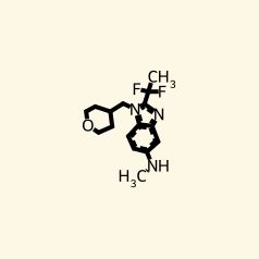 CNc1ccc2c(c1)nc(C(C)(F)F)n2CC1CCOCC1